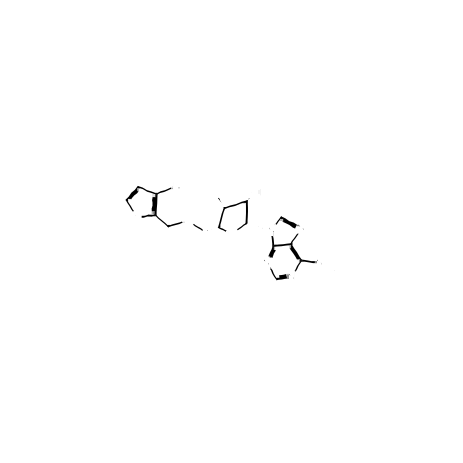 Nc1ncnc2c1ncn2[C@@H]1O[C@H](COCc2sccc2Br)[C@@H](O)[C@H]1O